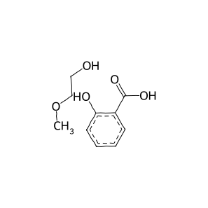 COCCO.O=C(O)c1ccccc1O